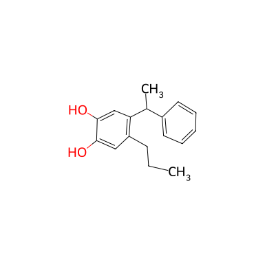 CCCc1cc(O)c(O)cc1C(C)c1ccccc1